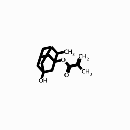 C=C(C)C(=O)OC12CC3CC(CC(O)(C3)C1)C2C